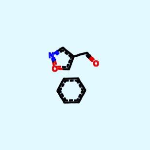 O=Cc1cnoc1.c1ccccc1